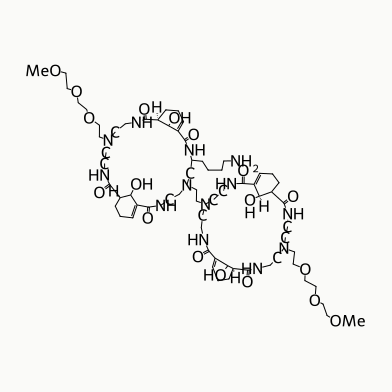 COCCOCCOCCN1CCNC(=O)C2CCC=C(C(=O)NCCN(CCN3CCNC(=O)C4=CCC[C@@H](C(=O)NCCN(CCOCCOCCOC)CCNC(=O)[C@H]5CCC=C(C(=O)NC(CCCCN)C3)C5O)C4O)CCNC(=O)C3=CCC[C@H](C(=O)NCC1)C3O)[C@@H]2O